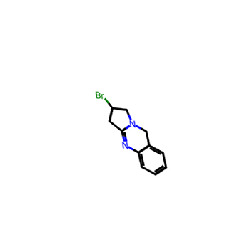 BrC1CC2=Nc3ccccc3CN2C1